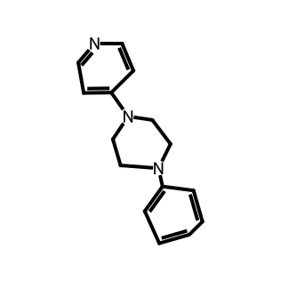 c1ccc(N2CCN(c3ccncc3)CC2)cc1